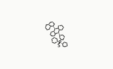 S=P(c1ccccc1)(c1ccccc1)c1cccc(-c2c3ccccc3c(-c3cccc4ccccc34)c3ccccc23)c1